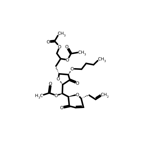 C=CC[C@@H]1C=CC(=O)[C@@H]([C@@H](OC(C)=O)[C@@H]2O[C@H](CC(COC(C)=O)OC(C)=O)[C@H](OCCCC)C2=O)O1